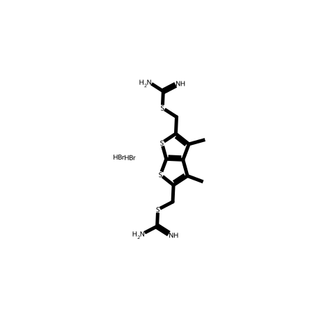 Br.Br.Cc1c(CSC(=N)N)sc2sc(CSC(=N)N)c(C)c12